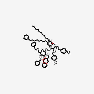 CCCCCCCCCCCCCC[C@@H](OCc1ccc(OC)cc1)[C@@H](OCc1ccc(OC)cc1)[C@H](CO[C@H]1OC(COCc2ccccc2)[C@H](OCc2ccccc2)[C@H](OCc2ccccc2)[C@H]1OCc1ccccc1)n1cc(CCCCCCCCc2ccccc2)nn1